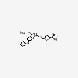 N=C(N)c1ccc(CCCCC(=O)NC(CC(=O)O)c2ccc(Oc3ccccc3)cc2)cc1